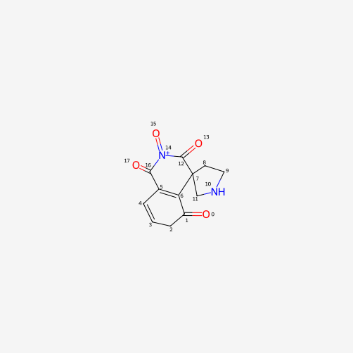 O=C1CC=CC2=C1C1(CCNC1)C(=O)[N+](=O)C2=O